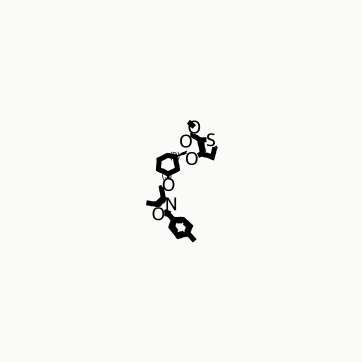 COC(=O)C1=C(OC[C@@H]2CCC[C@H](OCc3nc(-c4ccc(C)cc4)oc3C)C2)CCS1